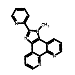 Cn1c(-c2ccccn2)nc2c3cccnc3c3ncccc3c21